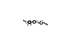 C=CCCC1CCC(COC2=CC=C(c3ccc(OCCC)c(F)c3F)CC2)CO1